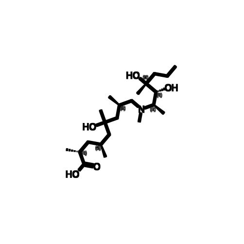 CCC[C@@](C)(O)[C@H](O)[C@@H](C)N(C)C[C@H](C)CC(C)(O)C[C@@H](C)C[C@@H](C)C(=O)O